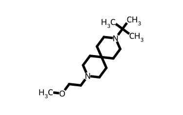 COCCN1CCC2(CC1)CCN(C(C)(C)C)CC2